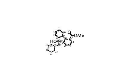 COC(=O)c1cccc2c1-c1ccccc1[N+]2(O)CC1CCCCC1